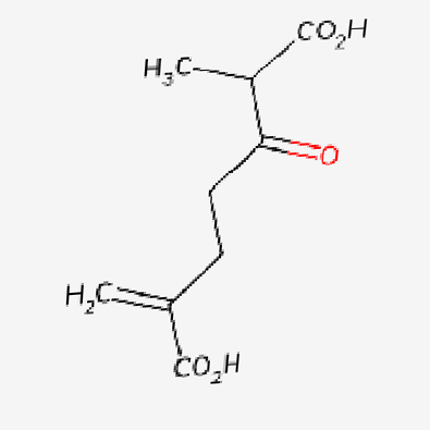 C=C(CCC(=O)C(C)C(=O)O)C(=O)O